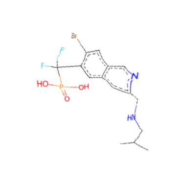 CC(C)CNCc1cc2cc(C(F)(F)P(=O)(O)O)c(Br)cc2cn1